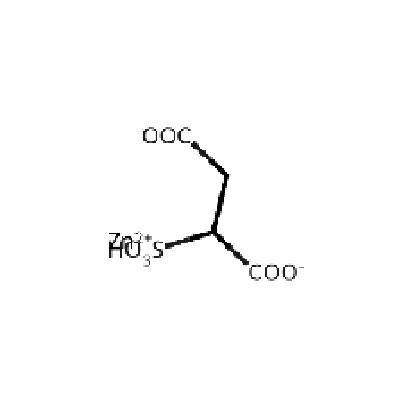 O=C([O-])CC(C(=O)[O-])S(=O)(=O)O.[Zn+2]